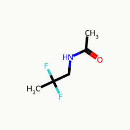 CC(=O)NCC(C)(F)F